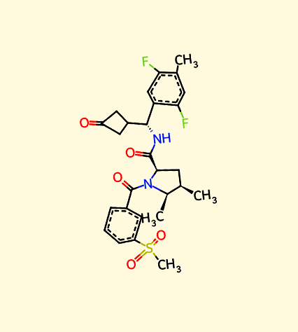 Cc1cc(F)c([C@H](NC(=O)[C@H]2C[C@@H](C)[C@@H](C)N2C(=O)c2cccc(S(C)(=O)=O)c2)C2CC(=O)C2)cc1F